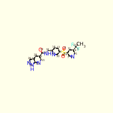 CC(F)(F)c1cncc(S(=O)(=O)c2ccc(CNC(=O)c3cnc4[nH]ncc4c3)nc2)c1